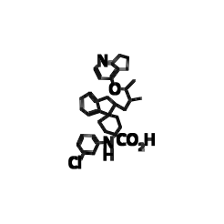 CC(CC1Cc2ccccc2C12CCC(Nc1cccc(Cl)c1)(C(=O)O)CC2)C(C)Oc1ccnc2c1CCC2